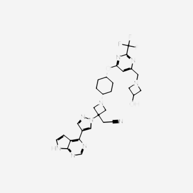 N#CCC1(n2cc(-c3ncnc4[nH]ccc34)cn2)CN([C@H]2CC[C@@H](Oc3cc(CN4CC(O)C4)nc(C(F)(F)F)n3)CC2)C1